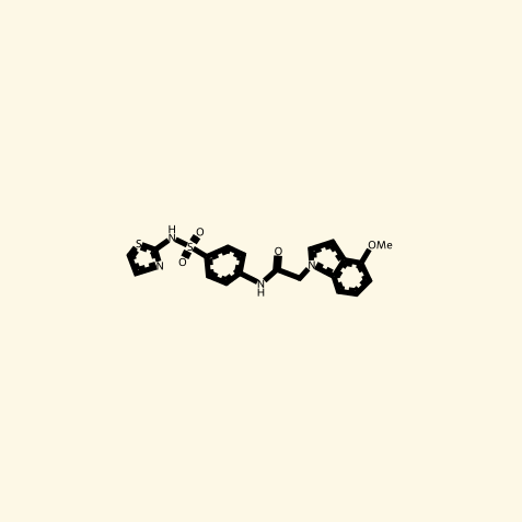 COc1cccc2c1ccn2CC(=O)Nc1ccc(S(=O)(=O)Nc2nccs2)cc1